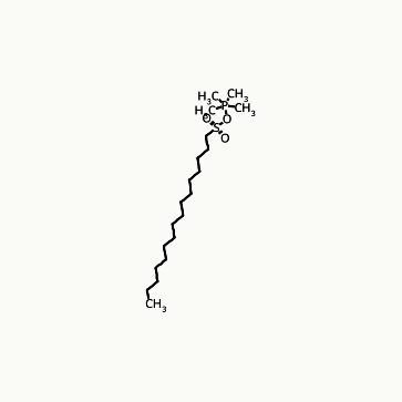 CCCCCCCCCCCCCCCCS(=O)(=O)OP(C)(C)(C)C